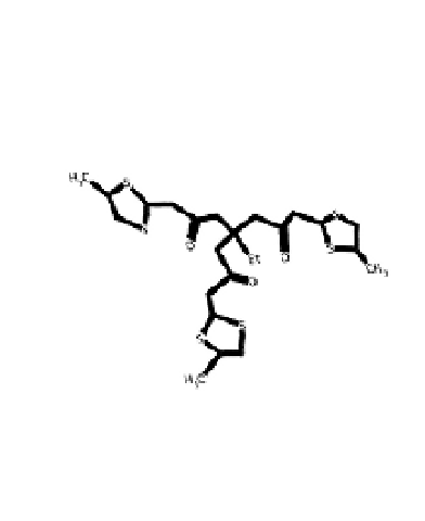 CCC(CC(=O)CC1SCC(C)S1)(CC(=O)CC1SCC(C)S1)CC(=O)CC1SCC(C)S1